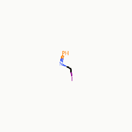 P=NCI